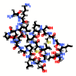 CC[C@H](C)[C@H](NC(=O)CNC(=O)[C@H](CS)NC(=O)[C@H](CO)NC(=O)[C@H](CC(C)C)NC(=O)[C@@H](NC(=O)[C@H](CS)NC(=O)[C@@H](NC(=O)[C@H](CCCCN)NC(=O)[C@H](CC(=O)O)NC(=O)[C@H](CC(C)C)NC(=O)[C@@H]1CCCN1C(=O)[C@H](C)NC(=O)[C@H](CCC(N)=O)NC(=O)[C@@H]1CCCN1C(=O)[C@H](CC(N)=O)NC(=O)[C@@H](NC(=O)[C@H](CCCCN)NC(=O)[C@H](C)N)[C@@H](C)CC)C(C)C)C(C)C)C(=O)N[C@@H](CO)C(=O)O